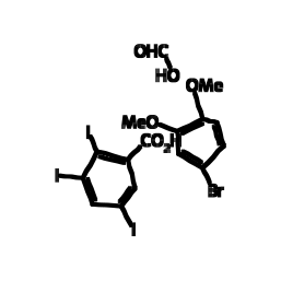 COc1ccc(Br)cc1OC.O=C(O)c1cc(I)cc(I)c1I.O=CO